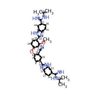 COc1cc(Oc2ccc(-c3nc4ccc(C(=N)NC(C)C)cc4[nH]3)cc2C#N)ccc1-c1nc2ccc(C(=N)NC(C)C)cc2[nH]1